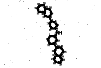 c1cc(Nc2ccc(-c3ccc4ccccc4c3)cc2)cc(-c2ccc3ccccc3c2)c1